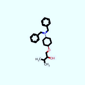 CC(C)C(O)CO[C@H]1CC[C@H](N(Cc2ccccc2)Cc2ccccc2)CC1